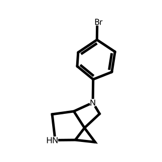 Brc1ccc(N2CC34CC3NCC24)cc1